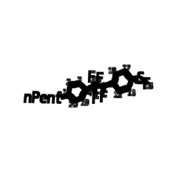 CCCCCc1ccc(C(F)(F)C(F)(F)c2ccc(SF)cc2)cc1